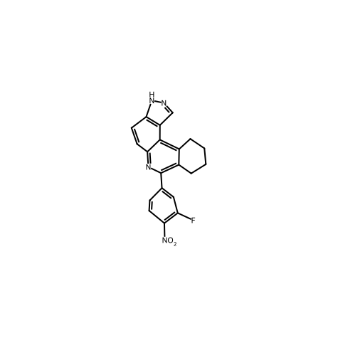 O=[N+]([O-])c1ccc(-c2nc3ccc4[nH]ncc4c3c3c2CCCC3)cc1F